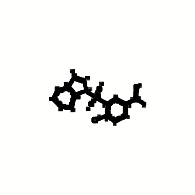 C[N+](=O)c1ccc(Cl)c(S(=O)(=O)C2C=Nc3ccccc32)c1